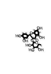 CC1O[C@@H](O[C@H]2C(=O)c3c(O)cc(O)cc3O[C@@H]2c2ccc(O)c(O)c2)C(O)C(O)[C@H]1O